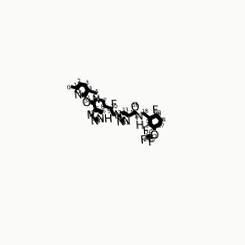 Cc1ccc(CN(CCC(F)Cn2cc(C(=O)NCc3cc(OC(F)(F)F)ccc3F)nn2)C(=O)c2c[nH]nn2)cn1